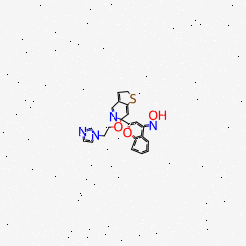 ON=c1cc(C2(OCCn3ccnc3)C=C3SCC=C3C=N2)oc2ccccc12